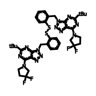 CC(C)(C)c1nc(N2CCC(F)(F)C2)c2nnn(Cc3ccccc3SSc3ccccc3Cn3nnc4c(N5CCC(F)(F)C5)nc(C(C)(C)C)nc43)c2n1